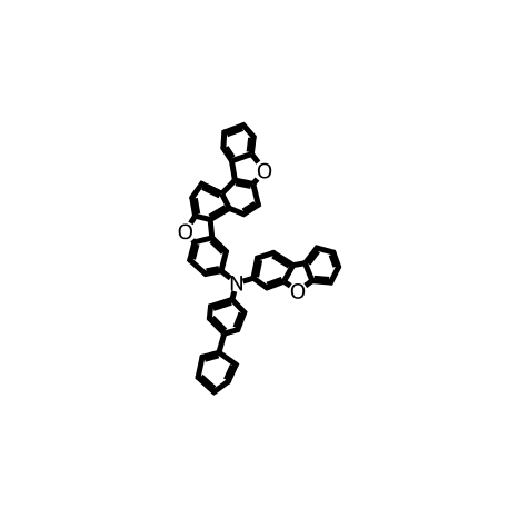 c1ccc(-c2ccc(N(c3ccc4c(c3)oc3ccccc34)c3ccc4oc5ccc6c(ccc7oc8ccccc8c76)c5c4c3)cc2)cc1